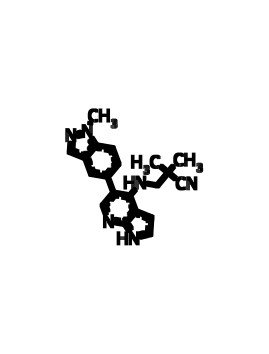 Cn1ncc2cc(-c3cnc4[nH]ccc4c3NCC(C)(C)C#N)ccc21